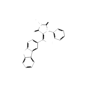 C/C(=C1/C(=O)N(C)C(=S)N1c1ccccc1)c1ccc2oc3ccccc3c2c1